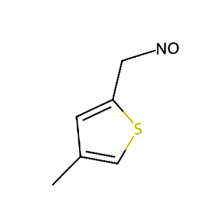 Cc1csc(CN=O)c1